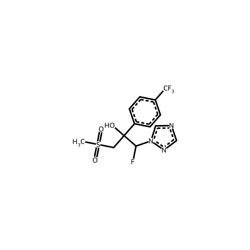 CS(=O)(=O)CC(O)(c1ccc(C(F)(F)F)cc1)C(F)n1cncn1